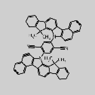 CC1(C)C2=C(CCC=C2)c2ccc3c4c5ccccc5c#cc4n(-c4cc(C#N)c(-n5c6ccc7ccccc7c6c6ccc7c(c65)C(C)(C)C5=C7C=CCC5)cc4C#N)c3c21